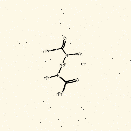 CCCC(=O)[N](CCC)[Nd+][N](CCC)C(=O)CCC.[Cl-]